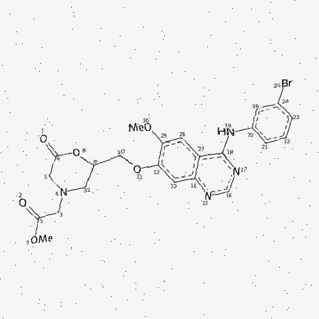 COC(=O)CN1CC(=O)OC(COc2cc3ncnc(Nc4cccc(Br)c4)c3cc2OC)C1